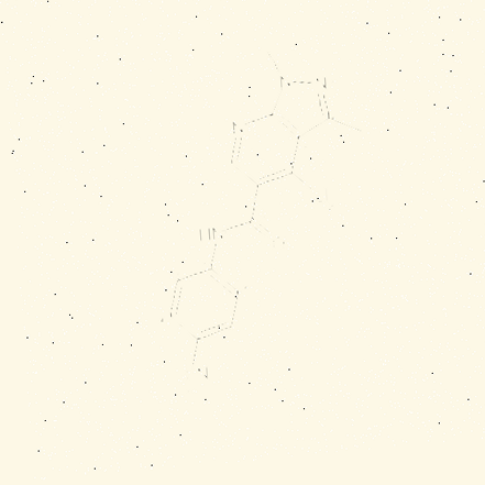 Cc1nn(C)c2ncc(C(=O)Nc3ccc(C#N)cc3)c(Cl)c12